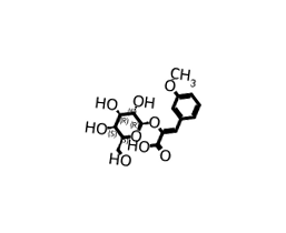 COc1cccc(C=C(O[C@H]2O[C@@H](CO)[C@@H](O)[C@@H](O)[C@@H]2O)C(=O)O)c1